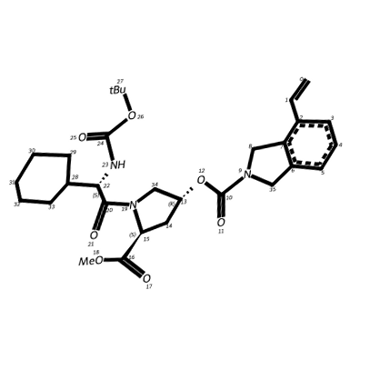 C=Cc1cccc2c1CN(C(=O)O[C@@H]1C[C@@H](C(=O)OC)N(C(=O)[C@@H](NC(=O)OC(C)(C)C)C3CCCCC3)C1)C2